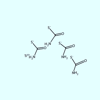 NC(=O)[S-].NC(=O)[S-].NC(=O)[S-].NC(=O)[S-].[Ti+4]